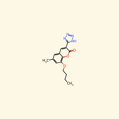 CCCCOc1cc(C)cc2cc(-c3nnn[nH]3)c(=O)oc12